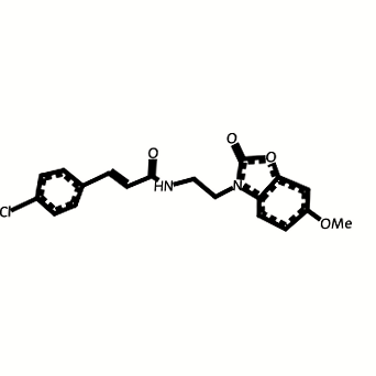 COc1ccc2c(c1)oc(=O)n2CCNC(=O)/C=C/c1ccc(Cl)cc1